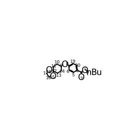 CCCCOC(=O)c1ccc(OC2CCC3(CC2)OCCO3)cc1